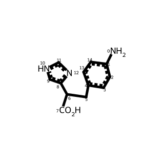 Nc1ccc(CC(C(=O)O)c2c[nH]cn2)cc1